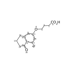 O=C(O)CCCOc1cc(F)c2c(c1)CCCC2=O